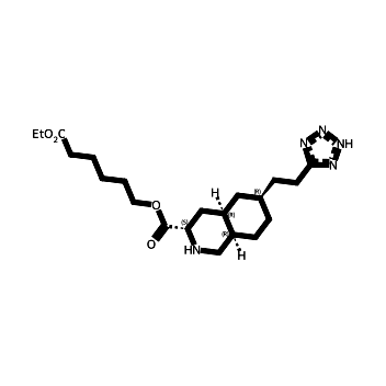 CCOC(=O)CCCCCOC(=O)[C@@H]1C[C@H]2C[C@@H](CCc3nn[nH]n3)CC[C@H]2CN1